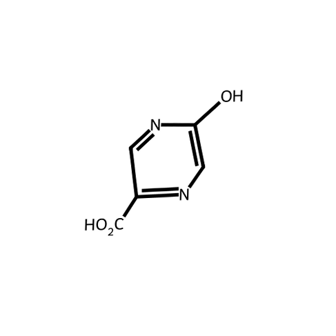 O=C(O)c1cnc(O)cn1